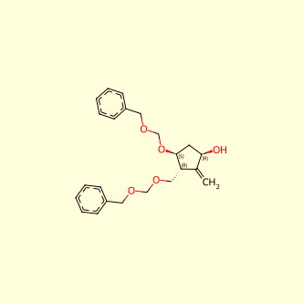 C=C1[C@H](O)C[C@H](OCOCc2ccccc2)[C@H]1COCOCc1ccccc1